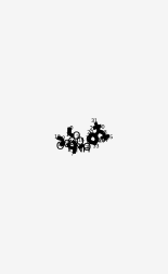 C=CC(=O)OCC(C)(COC(=O)C=C)NC(=O)Oc1ccc(C(CC(C)(C)C)C(C)(C)C)cc1